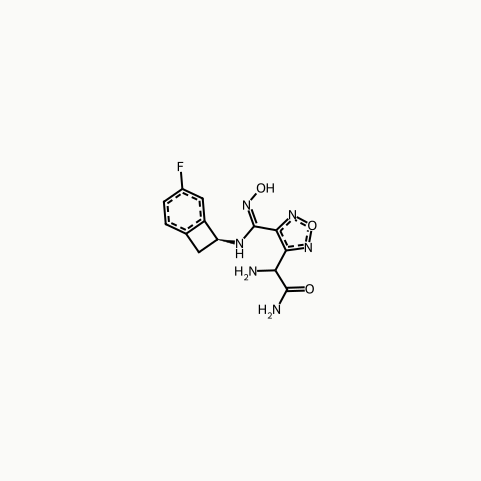 NC(=O)C(N)c1nonc1/C(=N\O)N[C@H]1Cc2ccc(F)cc21